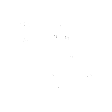 COc1cc(Cl)c(C(C)C)cc1CN1CCC2(CC1)CN(c1ccc(C(=O)O)c(OC)c1)C(=O)N2